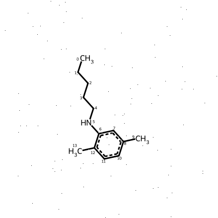 CCCCCNc1cc(C)ccc1C